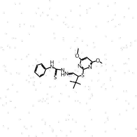 COc1cc(OC)nc(SC(/C=N/NC(=S)Nc2ccccc2)C(C)(C)C)n1